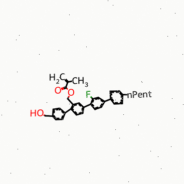 C=C(C)C(=O)OCc1cc(-c2ccc(-c3ccc(CCCCC)cc3)cc2F)ccc1-c1ccc(CO)cc1